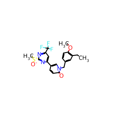 CCc1cc(Cn2cc(-c3cc(C(F)(F)F)nc([S+](C)[O-])n3)ccc2=O)ccc1OC